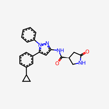 O=C1C[C@H](C(=O)Nc2cc(-c3cccc(C4CC4)c3)n(-c3ccccc3)n2)CN1